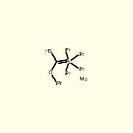 CC(C)OC(S)=S(C(C)C)(C(C)C)(C(C)C)C(C)C.[Mo]